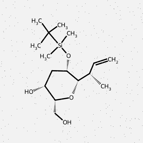 C=C[C@H](C)[C@@H]1O[C@H](CO)[C@H](O)C[C@@H]1O[Si](C)(C)C(C)(C)C